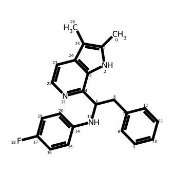 Cc1[nH]c2c(C(Cc3ccccc3)Nc3ccc(F)cc3)nccc2c1C